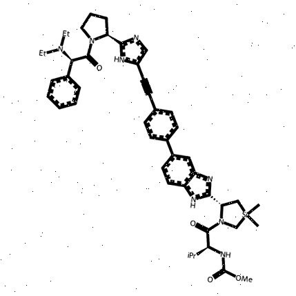 CCN(CC)[C@@H](C(=O)N1CCC[C@H]1c1ncc(C#Cc2ccc(-c3ccc4[nH]c([C@@H]5C[Si](C)(C)CN5C(=O)[C@@H](NC(=O)OC)C(C)C)nc4c3)cc2)[nH]1)c1ccccc1